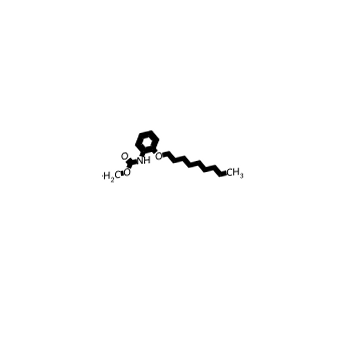 [CH2]OC(=O)Nc1ccccc1OCCCCCCCCC